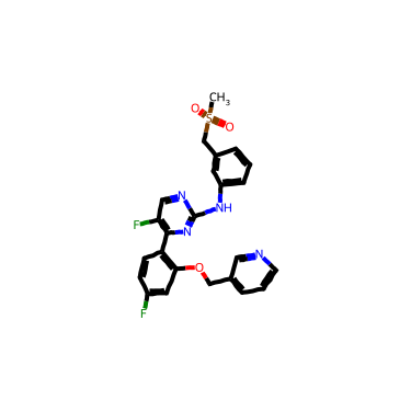 CS(=O)(=O)Cc1cccc(Nc2ncc(F)c(-c3ccc(F)cc3OCc3cccnc3)n2)c1